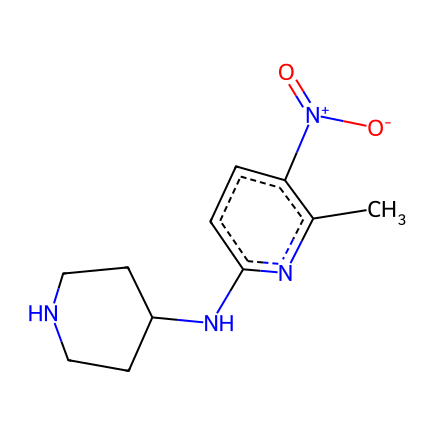 Cc1nc(NC2CCNCC2)ccc1[N+](=O)[O-]